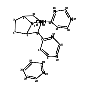 O=C(O)N1C2CCC1C(c1ccncn1)N(c1ccncn1)C2.c1ccncc1